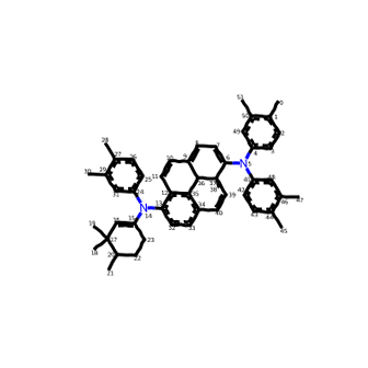 Cc1ccc(N(C2=CC=C3C=Cc4c(N(C5=CC(C)(C)C(C)CC5)c5ccc(C)c(C)c5)ccc5c4C3C2(C)C=C5)c2ccc(C)c(C)c2)cc1C